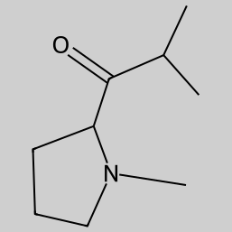 CC(C)C(=O)C1CCCN1C